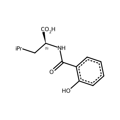 CC(C)C[C@H](NC(=O)c1ccccc1O)C(=O)O